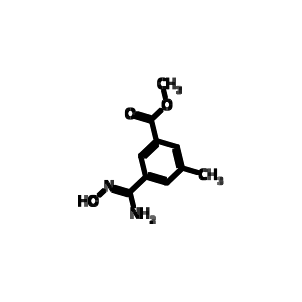 COC(=O)c1cc(C)cc(/C(N)=N/O)c1